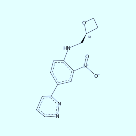 O=[N+]([O-])c1cc(-c2cccnn2)ccc1NC[C@@H]1CCO1